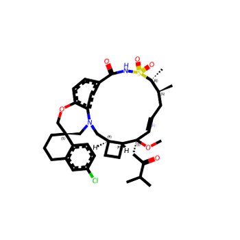 CO[C@]1(CC(=O)C(C)C)/C=C/C[C@H](C)[C@@H](C)S(=O)(=O)NC(=O)c2ccc3c(c2)N(C[C@@H]2CC[C@H]21)C[C@@]1(CCCc2cc(Cl)ccc21)CO3